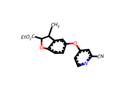 CCOC(=O)C1Oc2ccc(Oc3ccnc(C#N)c3)cc2C1C